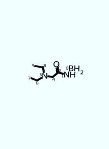 BNC(=O)CN(CC)CC